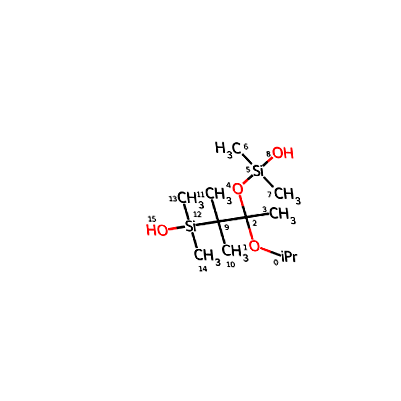 CC(C)OC(C)(O[Si](C)(C)O)C(C)(C)[Si](C)(C)O